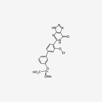 CCOc1cc(-c2cccc(O[C@@H](OC)C(=O)O)c2)ccc1-c1nc2[nH]nnc2c(=O)[nH]1